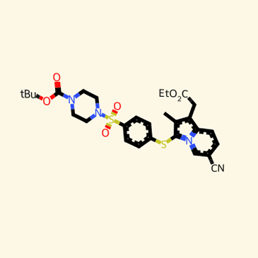 CCOC(=O)Cc1c(C)c(Sc2ccc(S(=O)(=O)N3CCN(C(=O)OC(C)(C)C)CC3)cc2)n2cc(C#N)ccc12